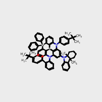 CC(C)(C)c1ccc(-c2ccccc2N2c3cc(N4c5ccccc5C5(C)CCCCC45C)cc4c3B3c5c(cccc5[Si](c5ccccc5)(c5ccccc5)c5cccc2c53)N4c2ccc(C(C)(C)C)cc2)cc1